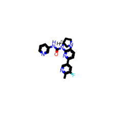 Cc1ncc(-c2ccc3c(n2)N(C(=O)Nc2cccnc2)[C@H]2CCN3C2)cc1F